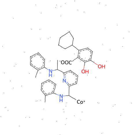 Cc1ccccc1NC(C)c1cccc(C(C)Nc2ccccc2C)n1.O=C([O-])c1c(C2CCCCC2)ccc(O)c1O.[Co+]